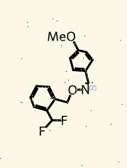 COc1ccc(/[C]=N\OCc2ccccc2C(F)F)cc1